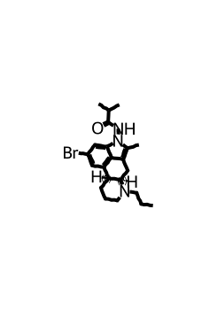 CCCN1CCC[C@@H]2c3cc(Br)cc4c3c(c(C)n4NC(=O)C(C)C)C[C@H]21